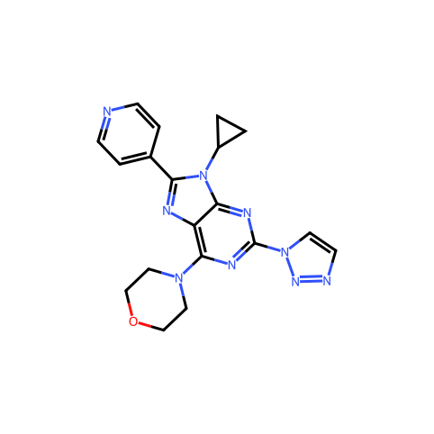 c1cc(-c2nc3c(N4CCOCC4)nc(-n4ccnn4)nc3n2C2CC2)ccn1